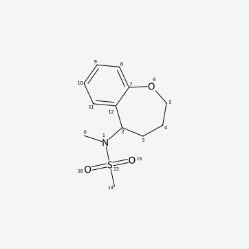 CN(C1CCCOc2ccccc21)S(C)(=O)=O